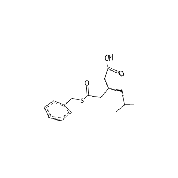 CC(C)C[C@H](CC(=O)O)CC(=O)SCc1ccccc1